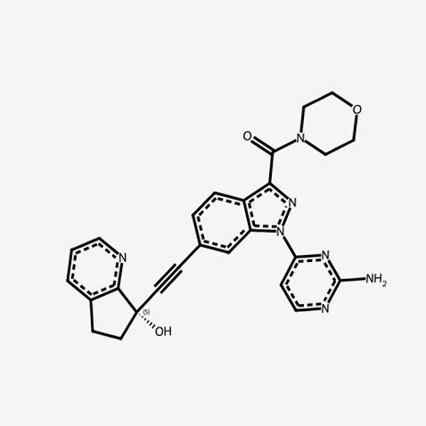 Nc1nccc(-n2nc(C(=O)N3CCOCC3)c3ccc(C#C[C@@]4(O)CCc5cccnc54)cc32)n1